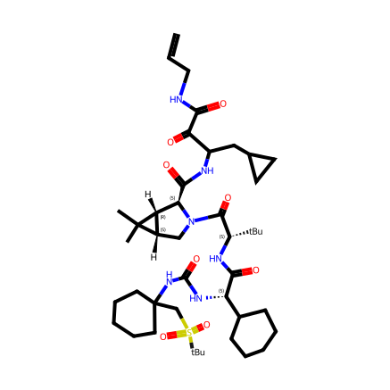 C=CCNC(=O)C(=O)C(CC1CC1)NC(=O)[C@@H]1[C@@H]2[C@H](CN1C(=O)[C@@H](NC(=O)[C@@H](NC(=O)NC1(CS(=O)(=O)C(C)(C)C)CCCCC1)C1CCCCC1)C(C)(C)C)C2(C)C